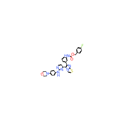 O=C(Nc1cccc(-c2nc3sccn3c2-c2ccnc(Nc3ccc(N4CCOCC4)cc3)n2)c1)OCc1ccc(F)cc1